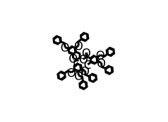 O=C(O[C@@H]1Cc2c(OCc3ccccc3)cc(OCc3ccccc3)cc2O[C@H]1c1cc(OCc2ccccc2)c(OCc2ccccc2)c(OCc2ccccc2)c1)c1cc(OCc2ccccc2)c(OCc2ccccc2)cc1C(F)(F)F